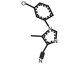 Cc1c(C#N)ncn1-c1cccc(Cl)c1